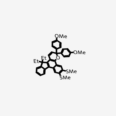 CCC1(CC)c2ccccc2-c2c1c1c(c3cc(SC)c(SC)cc23)OC(c2ccc(OC)cc2)(c2ccc(OC)cc2)C=C1